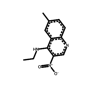 CCNc1c([N+](=O)[O-])cnc2ccc(C)cc12